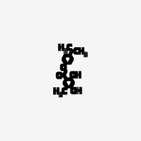 Cc1cc(C(=O)COc2ccc(C(C)C)cc2)c(O)cc1O